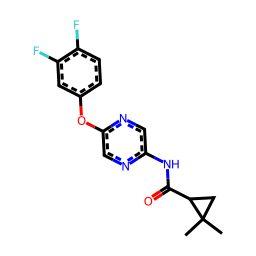 CC1(C)CC1C(=O)Nc1cnc(Oc2ccc(F)c(F)c2)cn1